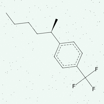 CCCC[C@@H](C)c1ccc(C(F)(F)F)cc1